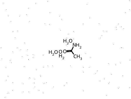 CC(N)=O.O.O.O